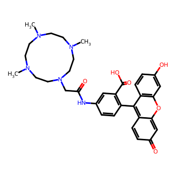 CN1CCN(C)CCN(CC(=O)Nc2ccc(-c3c4ccc(=O)cc-4oc4cc(O)ccc34)c(C(=O)O)c2)CCN(C)CC1